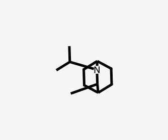 CC(C)N1C2CCC(CC2)C1C